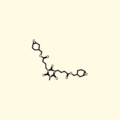 Cn1c(=O)n(CCCC(=O)OCC2CCC3OC3C2)c(=O)n(CCCC(=O)OCC2CCC3OC3C2)c1=O